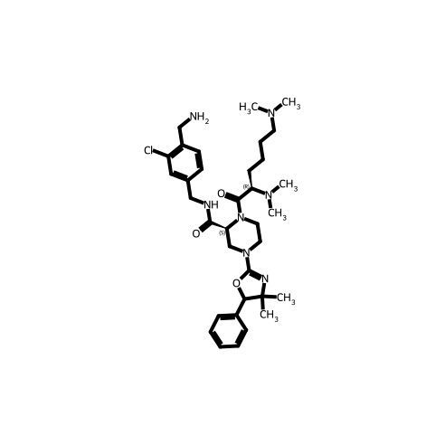 CN(C)CCCC[C@H](C(=O)N1CCN(C2=NC(C)(C)C(c3ccccc3)O2)C[C@H]1C(=O)NCc1ccc(CN)c(Cl)c1)N(C)C